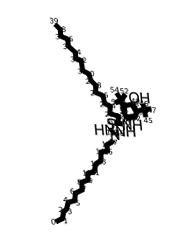 CCCCCCCCCCCCCCCCCCN1NSC(CCCCCCCCCCCCCCCCCC)(Nc2cc(C(C)(C)C)c(O)c(C(C)(C)C)c2)N1